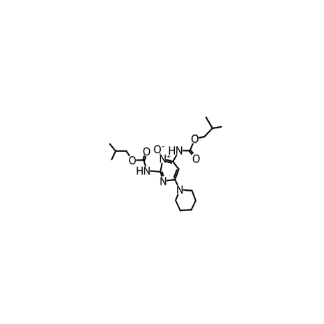 CC(C)COC(=O)Nc1cc(N2CCCCC2)nc(NC(=O)OCC(C)C)[n+]1[O-]